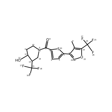 Cc1c(-c2ccc(C(=O)N3CCC(O)C(C(F)(F)F)C3)s2)noc1C(F)(F)F